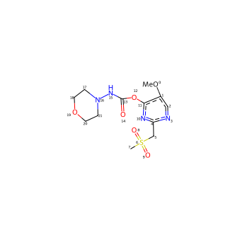 COc1cnc(CS(C)(=O)=O)nc1OC(=O)NN1CCOCC1